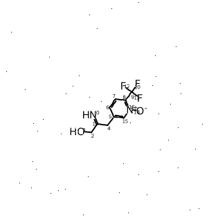 N=C(CO)Cc1ccc(C(F)(F)F)[n+]([O-])c1